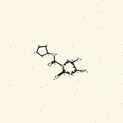 Nc1nc(=O)n(C(=O)OC2CCCC2)cc1F